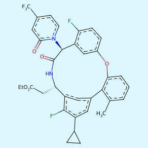 CCOC(=O)C[C@@H]1NC(=O)[C@@H](n2ccc(C(F)(F)F)cc2=O)c2cc(ccc2F)Oc2cccc(C)c2-c2cc(C3CC3)c(F)c1c2